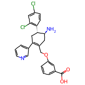 N[C@H]1CC(COc2cccc(C(=O)O)c2)=C(c2cccnc2)C[C@@H]1c1ccc(Cl)cc1Cl